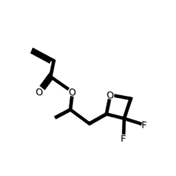 C=CC(=O)OC(C)CC1OCC1(F)F